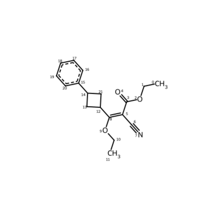 CCOC(=O)/C(C#N)=C(/OCC)C1CC(c2ccccc2)C1